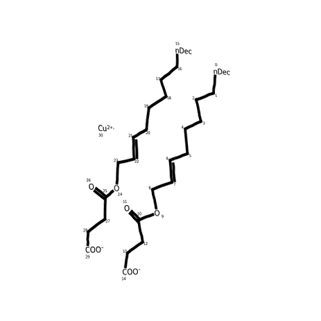 CCCCCCCCCCCCCCCC=CCOC(=O)CCC(=O)[O-].CCCCCCCCCCCCCCCC=CCOC(=O)CCC(=O)[O-].[Cu+2]